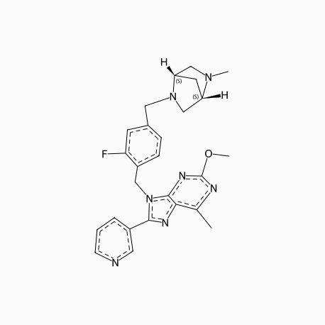 COc1nc(C)c2nc(-c3cccnc3)n(Cc3ccc(CN4C[C@@H]5C[C@H]4CN5C)cc3F)c2n1